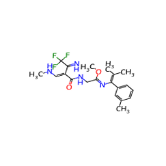 CN/C=C(\C(=N)C(F)(F)F)C(=O)NC/C(=N/C(=C(C)C)c1cccc(C)c1)OC